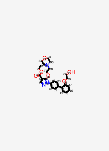 CCOC(=O)c1cnn(-c2ccc(-c3ccccc3OCCO)cc2)c1OCCN1CCOCC1